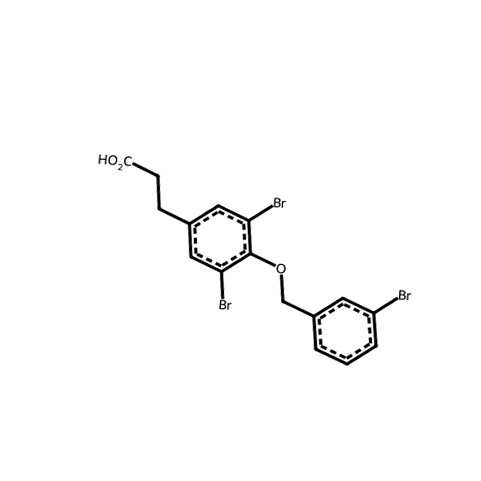 O=C(O)CCc1cc(Br)c(OCc2cccc(Br)c2)c(Br)c1